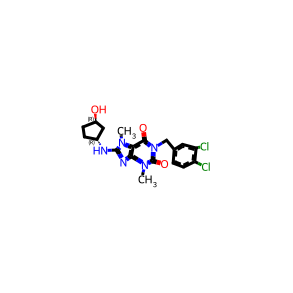 Cn1c(N[C@@H]2CC[C@@H](O)C2)nc2c1c(=O)n(Cc1ccc(Cl)c(Cl)c1)c(=O)n2C